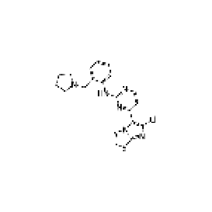 Clc1nc2sccn2c1-c1ccnc(Nc2ccccc2CN2CCCC2)n1